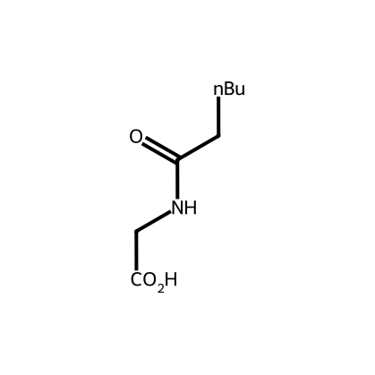 CCCCCC(=O)NCC(=O)O